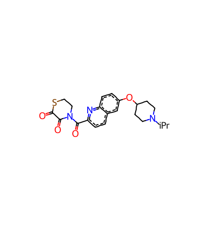 CC(C)N1CCC(Oc2ccc3nc(C(=O)N4CCSC(=O)C4=O)ccc3c2)CC1